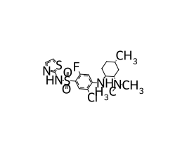 C[C@H]1CC[C@H](Nc2cc(F)c(S(=O)(=O)Nc3nccs3)cc2Cl)[C@@H](N(C)C)C1